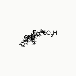 C[C@@H]1c2ccccc2CCN1C(=O)c1cc(C2CC2)n2cc(-c3ccc(C4C[C@H]4C(=O)O)cc3F)nc2n1